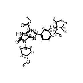 COC(=O)c1nc(-c2cccc(O[Si](C(C)C)(C(C)C)C(C)C)c2)nc2c1[nH]c(=O)n2[C@H]1CC[C@@H](OC)CC1